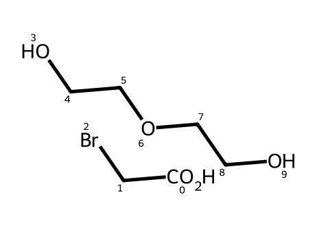 O=C(O)CBr.OCCOCCO